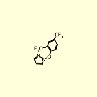 FC(F)(F)c1ccc(On2c[c]cn2)c(C(F)(F)F)c1